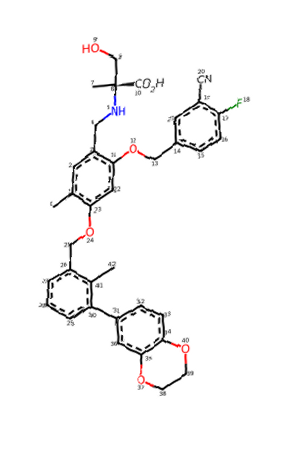 Cc1cc(CN[C@](C)(CO)C(=O)O)c(OCc2ccc(F)c(C#N)c2)cc1OCc1cccc(-c2ccc3c(c2)OCCO3)c1C